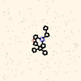 c1ccc(-c2cccc(-c3nc(-c4ccccc4)nc(-c4cccc5oc6ccc(-c7ccc(-c8ccccc8)cc7-c7ccccc7)cc6c45)n3)c2)cc1